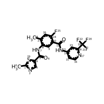 Cc1ncc(C(=O)Nc2cc(C(=O)Nc3ccnc(C(F)(F)F)c3)c(F)cc2C)s1